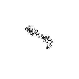 CC(C)CC1CCC([C@H](C)C(=O)NCCCCCC(=O)N2CC[C@@H](OP(=O)(O)O)C2)CC1